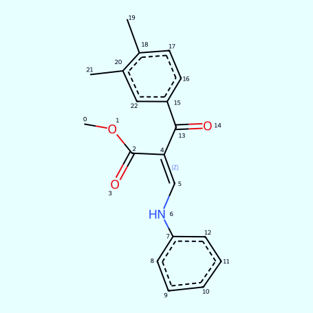 COC(=O)/C(=C\Nc1ccccc1)C(=O)c1ccc(C)c(C)c1